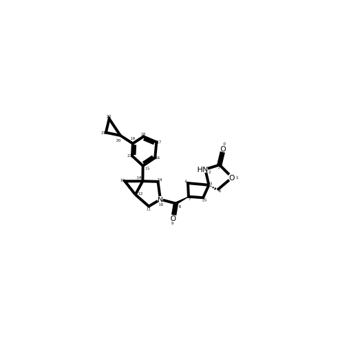 O=C1N[C@]2(CO1)C[C@H](C(=O)N1CC3CC3(c3cccc(C4CC4)c3)C1)C2